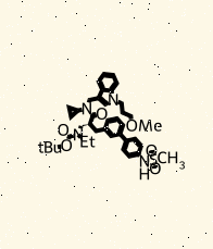 CCN(C[C@@H](Cc1cccc(-c2ccc(NS(C)(=O)=O)cc2)c1)C(=O)N(Cc1cn(CCCOC)c2ccccc12)C1CC1)C(=O)OC(C)(C)C